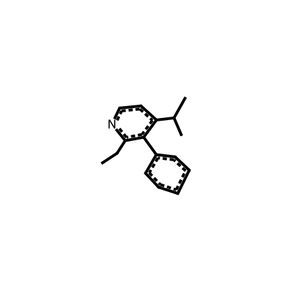 CCc1nccc(C(C)C)c1-c1ccccc1